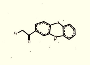 O=C(CBr)c1ccc2c(c1)Nc1ccccc1S2